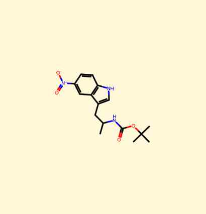 CC(Cc1c[nH]c2ccc([N+](=O)[O-])cc12)NC(=O)OC(C)(C)C